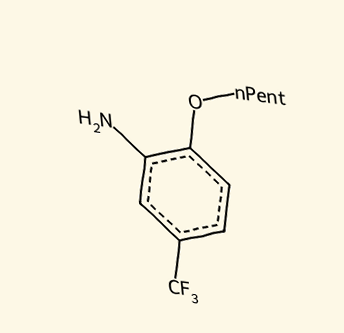 CCCCCOc1ccc(C(F)(F)F)cc1N